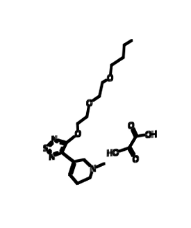 CCCCOCCOCCOc1nsnc1C1=CCCN(C)C1.O=C(O)C(=O)O